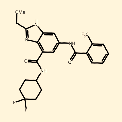 COCc1nc2c(C(=O)NC3CCC(F)(F)CC3)cc(NC(=O)c3ccccc3C(F)(F)F)cc2[nH]1